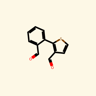 O=Cc1ccccc1-c1sccc1C=O